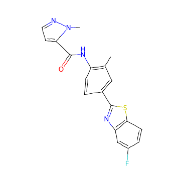 Cc1cc(-c2nc3cc(F)ccc3s2)ccc1NC(=O)c1ccnn1C